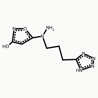 NN(CCCc1nnn[nH]1)c1cc(O)no1